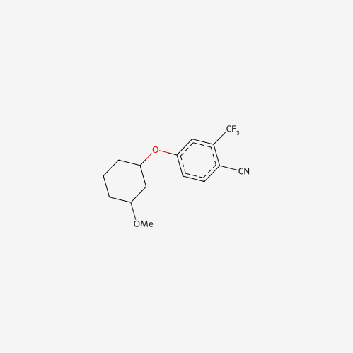 COC1CCCC(Oc2ccc(C#N)c(C(F)(F)F)c2)C1